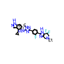 CCN1Cc2nc(-c3ccc(-c4nc(Nc5ccc6[nH]ncc6c5C5CC5)n(C)n4)cc3F)[nH]c2C(F)(F)C1